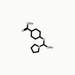 COC(=O)C1CCC(OC(SC)N2CCCC2)CC1